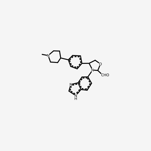 CN1CCC(c2ccc(C3COC(C=O)N3c3ccc4[nH]cnc4c3)cc2)CC1